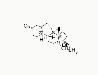 CC[C@]1(O)CC[C@H]2[C@@H]3CCC4CC(=O)CC[C@@H]4[C@H]3CC[C@@]21CC